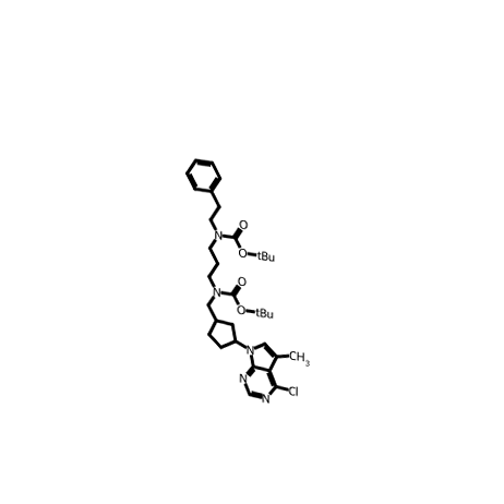 Cc1cn(C2CCC(CN(CCCN(CCc3ccccc3)C(=O)OC(C)(C)C)C(=O)OC(C)(C)C)C2)c2ncnc(Cl)c12